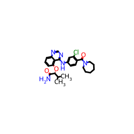 CC(C)[C@@H](Oc1cccc2ncnc(Nc3ccc(C(=O)N4CCCCCC4)c(Cl)c3)c12)C(N)=O